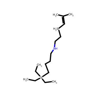 CC[Si](CC)(CC)CCCCNCC[SiH2]C=C(C)C